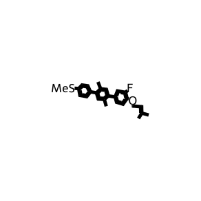 CSc1ccc(-c2cc(C)c(-c3ccc(OCC=C(C)C)c(F)c3)cc2C)cc1